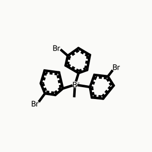 C[B-](c1cccc(Br)c1)(c1cccc(Br)c1)c1cccc(Br)c1